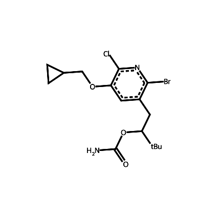 CC(C)(C)C(Cc1cc(OCC2CC2)c(Cl)nc1Br)OC(N)=O